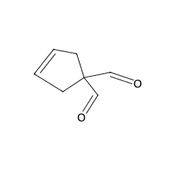 O=CC1(C=O)CC=CC1